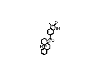 Cn1c(=O)[nH]c2cc(C(=O)N3CCC[C@@H]4c5ccccc5CC[C@@H]43)ccc21